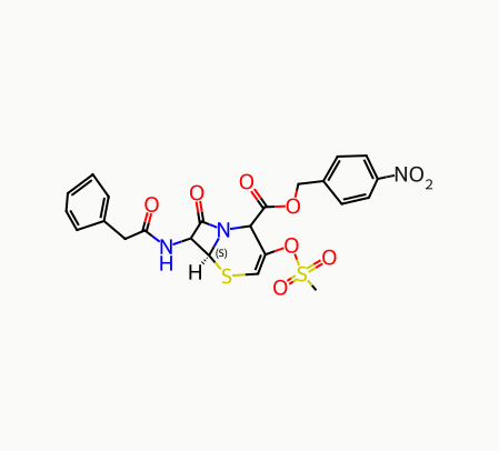 CS(=O)(=O)OC1=CS[C@H]2C(NC(=O)Cc3ccccc3)C(=O)N2C1C(=O)OCc1ccc([N+](=O)[O-])cc1